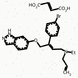 C=CCN(CC)CC=C(COc1ccc2cn[nH]c2c1)c1ccc(Br)cc1.O=C(O)C=CC(=O)O